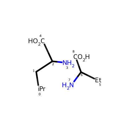 CC(C)CC(N)C(=O)O.CCC(N)C(=O)O